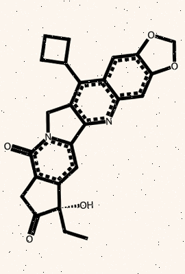 CC[C@@]1(O)C(=O)Cc2c1cc1n(c2=O)Cc2c-1nc1cc3c(cc1c2C1CCC1)OCO3